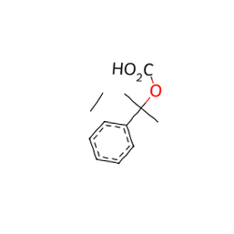 CC.CC(C)(OC(=O)O)c1ccccc1